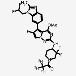 [2H]C([2H])([2H])C(=O)N1CC[C@@H](Nc2nc(OC)c3c(-c4ccc5nc(C)n(CC(F)F)c5c4)c(F)cn3n2)C(F)(F)C1